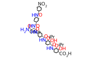 CO[C@H](C(N)=O)[C@H](NC(=O)c1ccc(NC(=O)c2ccc([N+](=O)[O-])cc2)cc1)C(=O)Nc1ccc(C(=O)Nc2ccc(C(=O)Nc3ccc(C(=O)O)c(O)c3OC(C)C)c(O)c2OC(C)C)cc1